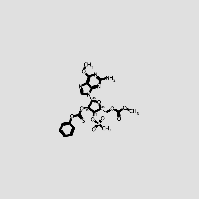 COC(=O)OC[C@H]1O[C@@H](n2cnc3c(OC)nc(N)nc32)[C@H](OC(=S)Oc2ccccc2)[C@H]1OS(C)(=O)=O